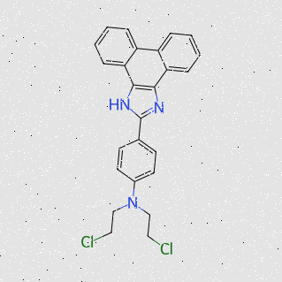 ClCCN(CCCl)c1ccc(-c2nc3c4ccccc4c4ccccc4c3[nH]2)cc1